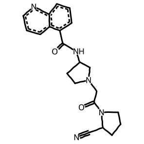 N#CC1CCCN1C(=O)CN1CCC(NC(=O)c2cccc3ncccc23)C1